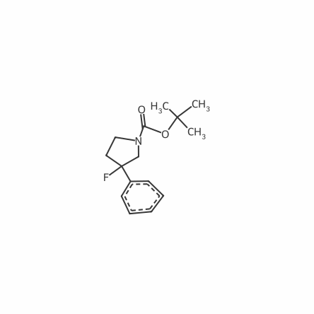 CC(C)(C)OC(=O)N1CCC(F)(c2ccccc2)C1